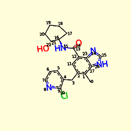 Cc1c(Cc2cccnc2Cl)cc(C(=O)N[C@@H]2CCCC[C@H]2O)c2nc[nH]c12